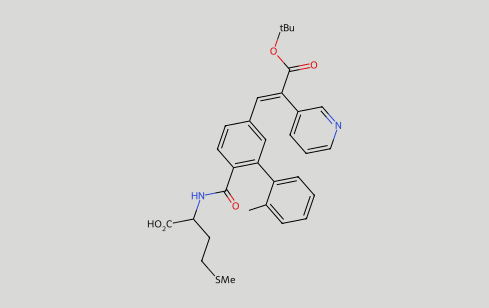 CSCCC(NC(=O)c1ccc(C=C(C(=O)OC(C)(C)C)c2cccnc2)cc1-c1ccccc1C)C(=O)O